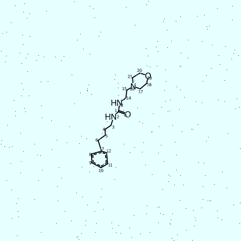 O=C(NCCCCc1ccccc1)NCCN1CCOCC1